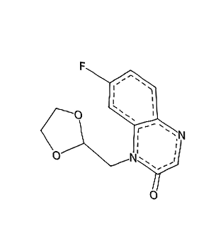 O=c1cnc2ccc(F)cc2n1CC1OCCO1